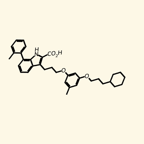 Cc1cc(OCCCc2c(C(=O)O)[nH]c3c(-c4ccccc4C)cccc23)cc(OCCCC2CCCCC2)c1